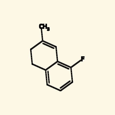 CC1=Cc2c(F)cccc2CC1